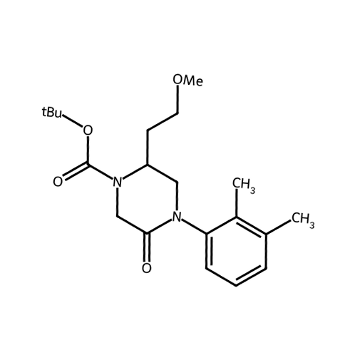 COCCC1CN(c2cccc(C)c2C)C(=O)CN1C(=O)OC(C)(C)C